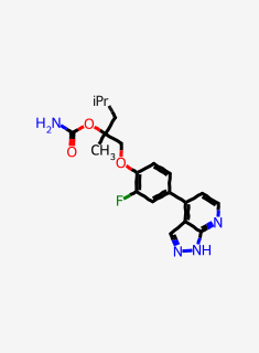 CC(C)CC(C)(COc1ccc(-c2ccnc3[nH]ncc23)cc1F)OC(N)=O